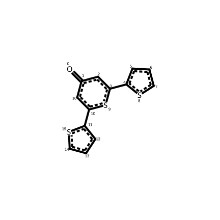 O=c1cc(-c2cccs2)sc(-c2cccs2)c1